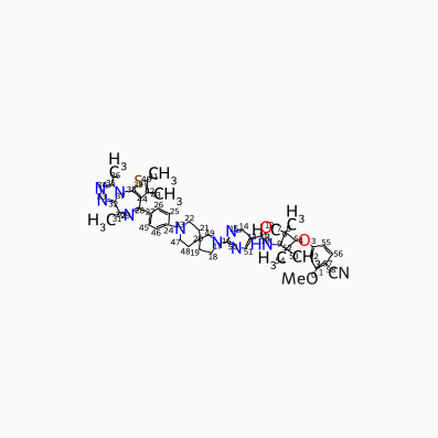 COc1cc(OC2C(C)(C)C(NC(=O)c3cnc(N4CCC5(CCN(c6ccc(C7=N[C@@H](C)c8nnc(C)n8-c8sc(C)c(C)c87)cc6)CC5)C4)nc3)C2(C)C)ccc1C#N